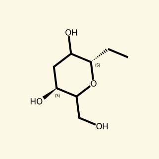 CC[C@@H]1OC(CO)[C@@H](O)CC1O